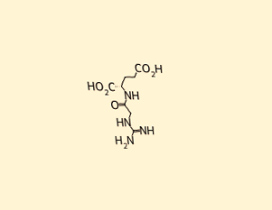 N=C(N)NCC(=O)N[C@@H](CCC(=O)O)C(=O)O